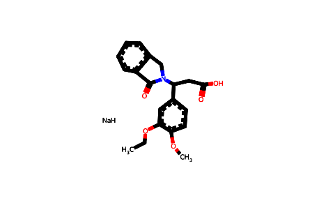 CCOc1cc(C(CC(=O)O)N2Cc3ccccc3C2=O)ccc1OC.[NaH]